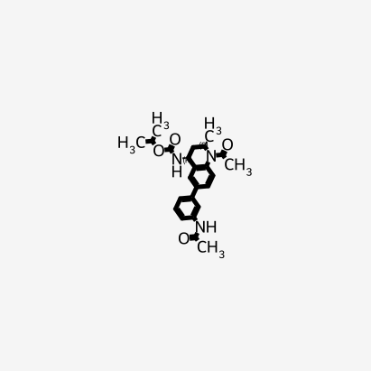 CC(=O)Nc1cccc(-c2ccc3c(c2)[C@H](NC(=O)OC(C)C)C[C@H](C)N3C(C)=O)c1